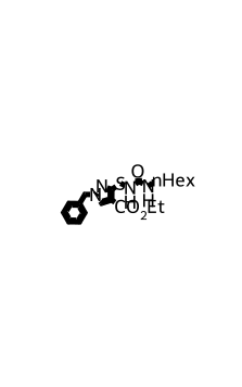 CCCCCCNC(=O)NSc1nn(Cc2ccccc2)cc1C(=O)OCC